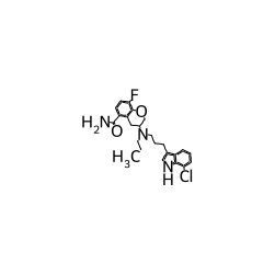 CCCN(CCCc1c[nH]c2c(Cl)cccc12)C1COc2c(F)ccc(C(N)=O)c2C1